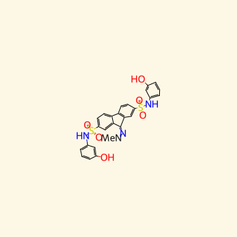 CNN=C1c2cc(S(=O)(=O)Nc3cccc(O)c3)ccc2-c2ccc(S(=O)(=O)Nc3cccc(O)c3)cc21